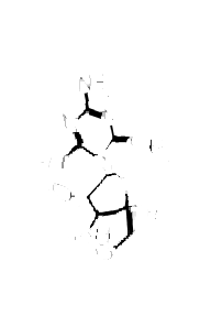 [2H]C1=NC(N)=NC(=C)N1[C@@H]1O[C@]([2H])(CO)C(O)[C@@H]1O